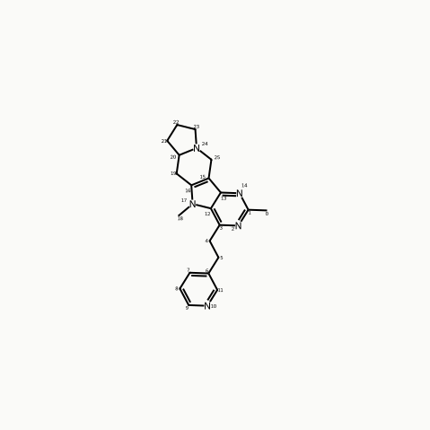 Cc1nc(CCc2cccnc2)c2c(n1)c1c(n2C)CC2CCCN2C1